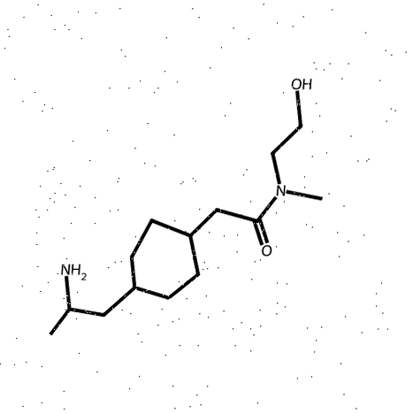 CC(N)CC1CCC(CC(=O)N(C)CCO)CC1